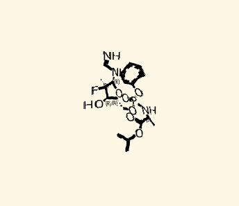 CC(C)OC(=O)[C@H](C)NP(=O)(OC[C@H]1O[C@@H](NC=N)[C@](C)(F)[C@@H]1O)Oc1ccccc1